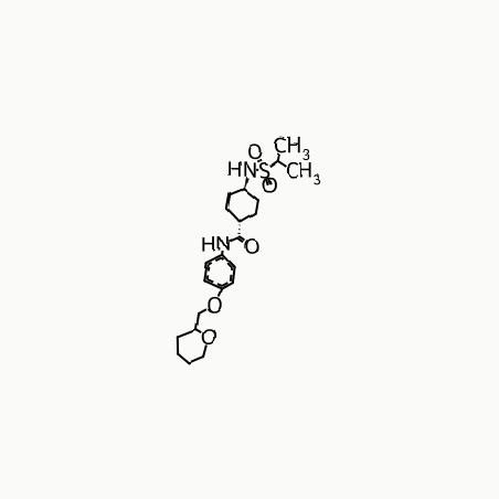 CC(C)S(=O)(=O)N[C@H]1CC[C@H](C(=O)Nc2ccc(OCC3CCCCO3)cc2)CC1